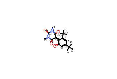 CN1C(=O)C(=C2C(=O)C=C(C(C)(C)C)C=C2C(C)(C)C)C(=O)N(C)C1=O